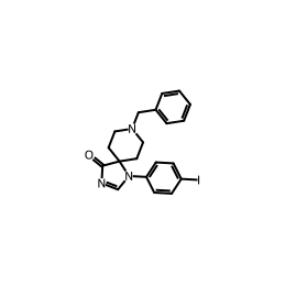 O=C1N=CN(c2ccc(I)cc2)C12CCN(Cc1ccccc1)CC2